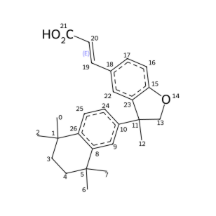 CC1(C)CCC(C)(C)c2cc(C3(C)COc4ccc(/C=C/C(=O)O)cc43)ccc21